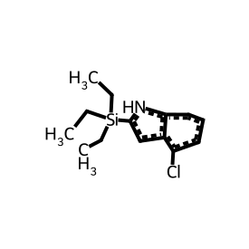 CC[Si](CC)(CC)c1cc2c(Cl)cccc2[nH]1